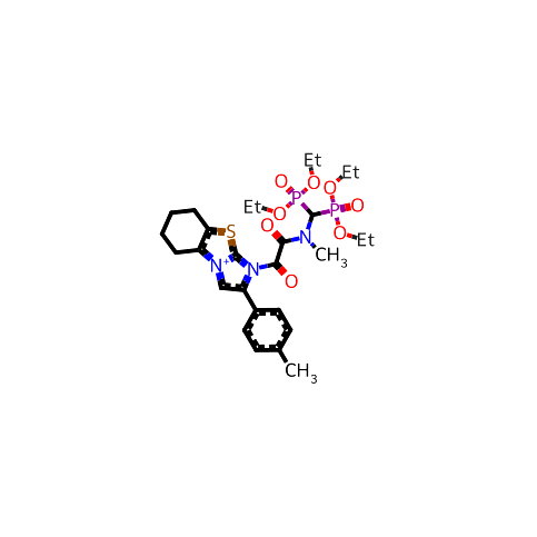 CCOP(=O)(OCC)C(N(C)C(=O)C(=O)n1c(-c2ccc(C)cc2)c[n+]2c3c(sc12)CCCC3)P(=O)(OCC)OCC